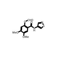 COc1cc(OC=O)c(C(=O)Nc2cnsc2)cc1OC